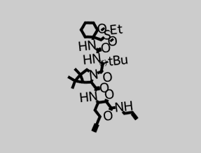 C#CCCC(NC(=O)C1C2C(C)(C)C2(C)CN1C(=O)[C@@H](NC(=O)NC1(CS(=O)(=O)CC)CCCCC1)C(C)(C)C)C(=O)C(=O)NCC=C